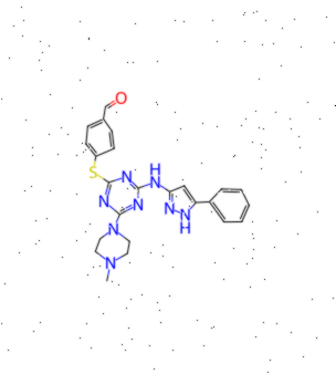 CN1CCN(c2nc(Nc3cc(-c4ccccc4)[nH]n3)nc(Sc3ccc(C=O)cc3)n2)CC1